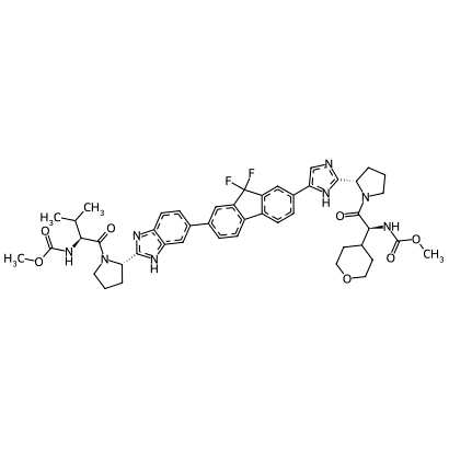 COC(=O)N[C@H](C(=O)N1CCC[C@H]1c1nc2ccc(-c3ccc4c(c3)C(F)(F)c3cc(-c5cnc([C@@H]6CCCN6C(=O)[C@@H](NC(=O)OC)C6CCOCC6)[nH]5)ccc3-4)cc2[nH]1)C(C)C